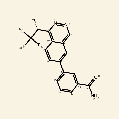 C[C@H](c1nncc2cc(-c3cccc(C(N)=O)c3)ccc12)C(F)(F)F